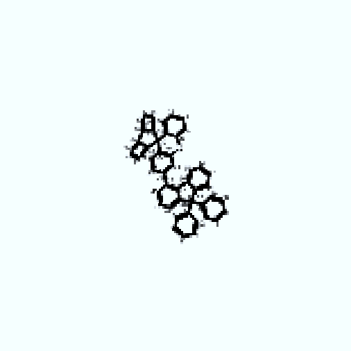 c1ccc(C2(c3ccccc3)c3ccccc3-c3c(-c4ccc5c(c4)Oc4ccccc4C54c5ccccc5-c5ccccc54)cccc32)cc1